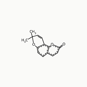 CC1(C)C=Cc2c(ccc3ccc(=O)oc23)O1